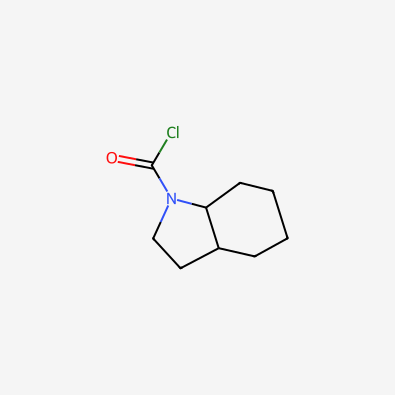 O=C(Cl)N1CCC2CCCCC21